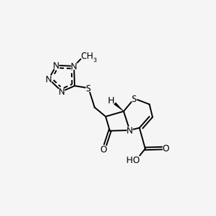 Cn1nnnc1SCC1C(=O)N2C(C(=O)O)=CCS[C@@H]12